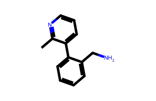 Cc1ncccc1-c1ccccc1CN